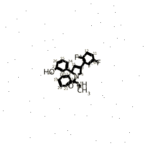 CNC(=O)N1CC(c2cc(F)ccc2F)=C[C@]1(c1ccccc1)c1cccc(O)c1